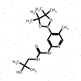 Cc1cnc(NC(=O)NCC(C)(C)O)cc1B1OC(C)(C)C(C)(C)O1